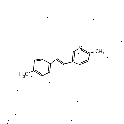 Cc1ccc(C=Cc2ccc(C)nc2)cc1